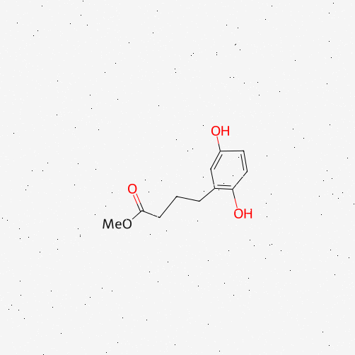 COC(=O)CCCc1cc(O)ccc1O